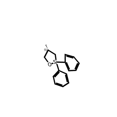 C[C@H]1CO[Si](c2ccccc2)(c2ccccc2)C1